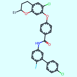 CCC1CCc2cc(Cl)c(Oc3ccc(C(=O)Nc4ccc(F)c(-c5ccc(Cl)cc5)c4)cc3)cc2O1